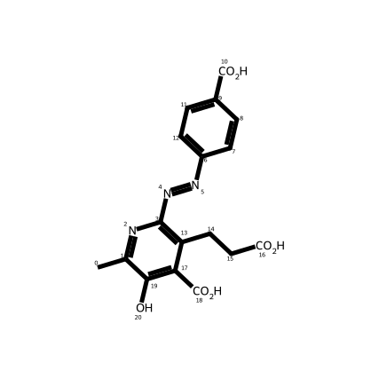 Cc1nc(N=Nc2ccc(C(=O)O)cc2)c(CCC(=O)O)c(C(=O)O)c1O